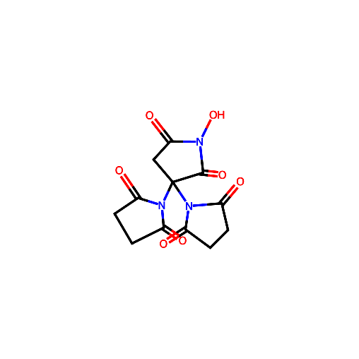 O=C1CC(N2C(=O)CCC2=O)(N2C(=O)CCC2=O)C(=O)N1O